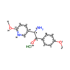 COc1ccc(C(=O)C(N)c2ccc(OC)nc2)cc1.Cl